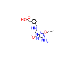 CCCCOc1nc(N)c2nc(OC)n(CCNCc3cccc(CC(=O)O)c3)c2n1